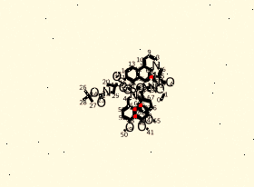 CCOC(=O)c1cn2cccc(-c3ccc(S(=O)(=O)C4CN(C(=O)OC(C)(C)C)C4)c(S(=O)(=O)N(Cc4ccc(OC)cc4)Cc4ccc(OC)cc4)c3-c3nnnn3Cc3ccc(OC)cc3)c2n1